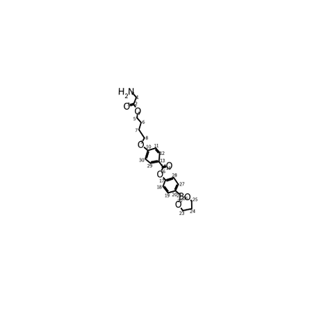 NCC(=O)OCCCCOc1ccc(C(=O)Oc2ccc(B3OCCCO3)cc2)cc1